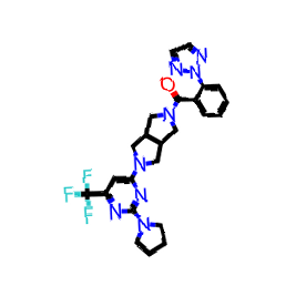 O=C(c1ccccc1-n1nccn1)N1CC2CN(c3cc(C(F)(F)F)nc(N4CCCC4)n3)CC2C1